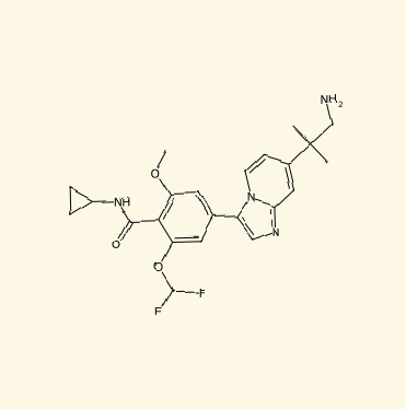 COc1cc(-c2cnc3cc(C(C)(C)CN)ccn23)cc(OC(F)F)c1C(=O)NC1CC1